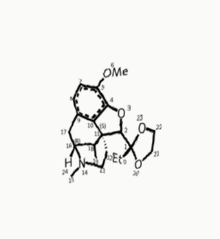 CCC1(C2Oc3c(OC)ccc4c3[C@@]23CCN(C)[C@H](C4)C3C)OCCO1